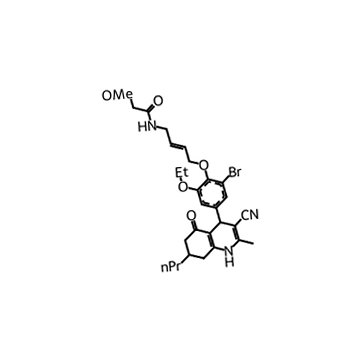 CCCC1CC(=O)C2=C(C1)NC(C)=C(C#N)C2c1cc(Br)c(OCC=CCNC(=O)COC)c(OCC)c1